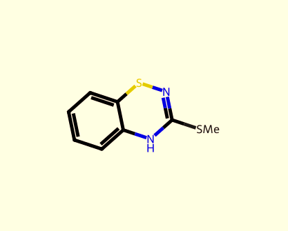 CSC1=NSc2ccccc2N1